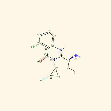 CC[C@H](N)c1nc2cccc(Cl)c2c(=O)n1[C@@H]1C[C@@H]1F